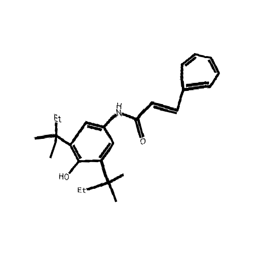 CCC(C)(C)c1cc(NC(=O)C=Cc2ccccc2)cc(C(C)(C)CC)c1O